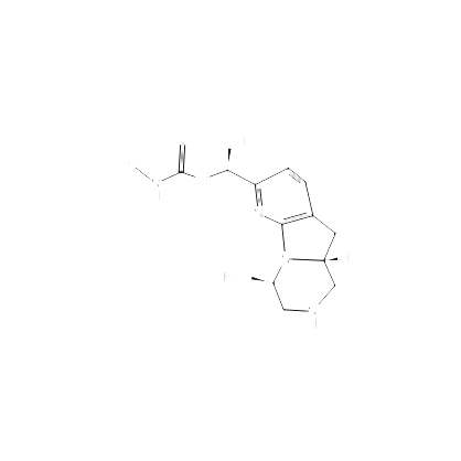 CCCNC(=O)O[C@@H](C)c1ccc2c(n1)N1[C@@H](CNC[C@H]1C)C2